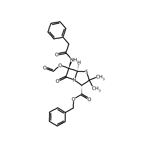 CC1(C)S[C@H]2N(C(=O)[C@]2(NC(=O)Cc2ccccc2)OC=O)[C@H]1C(=O)OCc1ccccc1